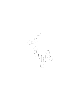 c1ccc(-c2ccc3c(c2)c2ccccc2n3-c2ccc3c(c2)oc2ccc(-c4nc(-c5ccccc5)nc(-n5c6ccccc6c6ccccc65)n4)cc23)cc1